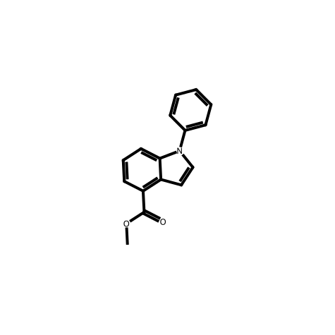 COC(=O)c1cccc2c1ccn2-c1ccccc1